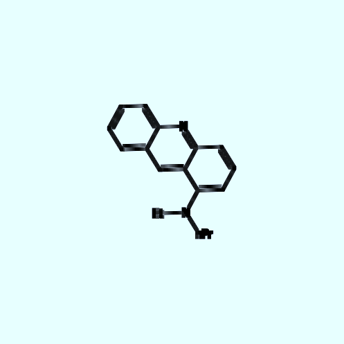 CCCN(CC)c1cccc2nc3ccccc3cc12